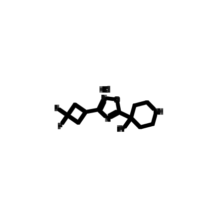 CC(C)C1(c2nc(C3CC(F)(F)C3)no2)CCNCC1.Cl